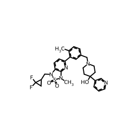 Cc1ccc(CN2CCC(O)(c3cccnc3)CC2)cc1-c1ccc2c(n1)N(C)S(=O)(=O)N2CC1CC1(F)F